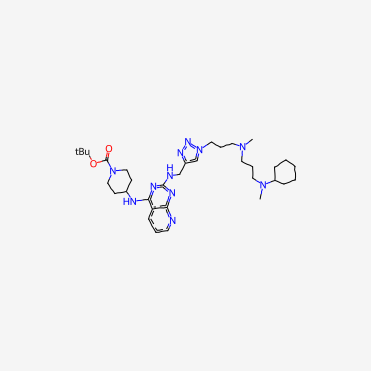 CN(CCCN(C)C1CCCCC1)CCCn1cc(CNc2nc(NC3CCN(C(=O)OC(C)(C)C)CC3)c3cccnc3n2)nn1